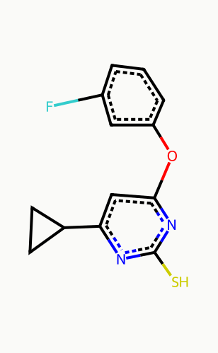 Fc1cccc(Oc2cc(C3CC3)nc(S)n2)c1